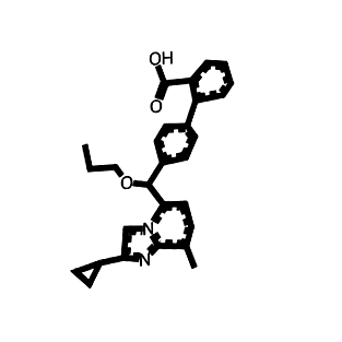 CCCOC(c1ccc(-c2ccccc2C(=O)O)cc1)c1ccc(C)c2nc(C3CC3)cn12